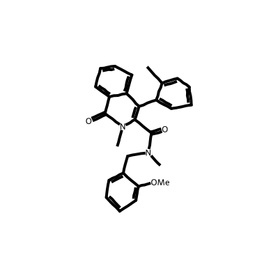 COc1ccccc1CN(C)C(=O)c1c(-c2ccccc2C)c2ccccc2c(=O)n1C